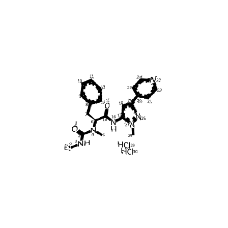 CCNC(=O)N(C)[C@@H](Cc1ccccc1)C(=O)Nc1cc(-c2ccncc2)nn1C.Cl.Cl